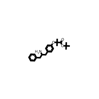 CC(C)(C)OC(=O)C(C)(C)Oc1ccc(CC(N)Cc2ccccc2)cc1